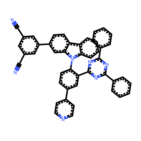 N#Cc1cc(C#N)cc(-c2ccc3c4ccccc4n(-c4ccc(-c5ccncc5)cc4-c4nc(-c5ccccc5)nc(-c5ccccc5)n4)c3c2)c1